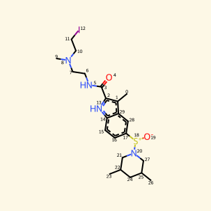 Cc1c(C(=O)NCCN(C)CCI)[nH]c2ccc([S+]([O-])N3CC(C)CC(C)C3)cc12